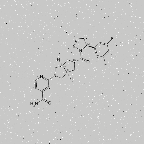 NC(=O)c1ccnc(N2C[C@H]3C[C@H](C(=O)N4N=CC[C@H]4c4cc(F)cc(F)c4)C[C@H]3C2)n1